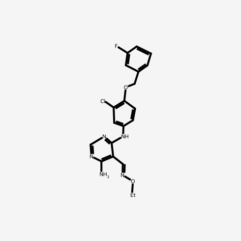 CCON=Cc1c(N)ncnc1Nc1ccc(OCc2cccc(F)c2)c(Cl)c1